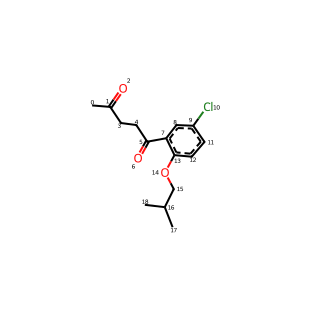 CC(=O)CCC(=O)c1cc(Cl)ccc1OCC(C)C